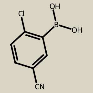 N#Cc1ccc(Cl)c(B(O)O)c1